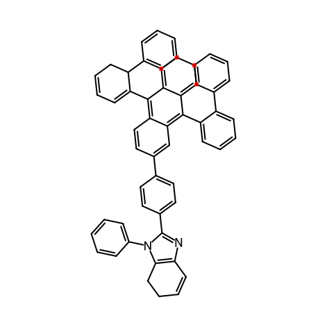 C1=CCC(c2ccccc2)C(c2c3c(c(-c4ccccc4-c4ccccc4)c4cc(-c5ccc(-c6nc7c(n6-c6ccccc6)CCC=C7)cc5)ccc24)=CCCC=3)=C1